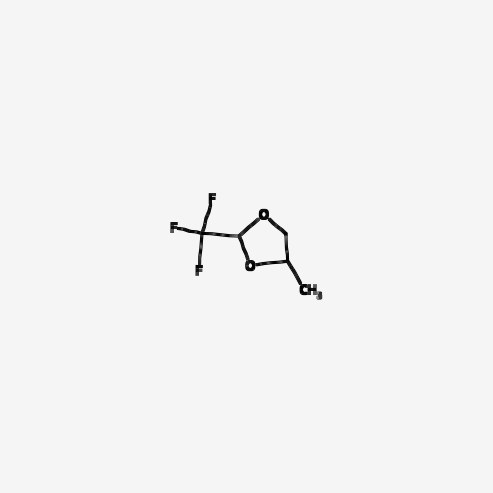 CC1COC(C(F)(F)F)O1